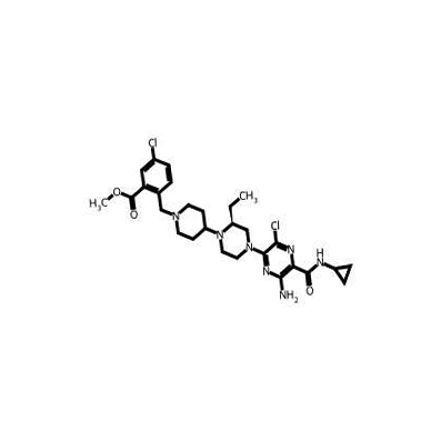 CC[C@H]1CN(c2nc(N)c(C(=O)NC3CC3)nc2Cl)CCN1C1CCN(Cc2ccc(Cl)cc2C(=O)OC)CC1